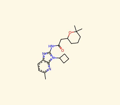 Cc1ccc2nc(NC(=O)CC3CCCC(C)(C)O3)n(C3CCC3)c2n1